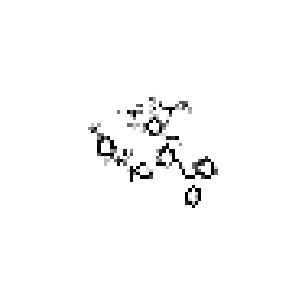 CCC(=O)N[C@H]1C[C@@H](n2cnc3c(NCC(c4ccccc4)c4ccccc4)nc(N4CC[C@@H](NC(=O)Nc5ccc(C#N)cc5)C4)nc32)[C@H](OC(=O)C(F)(F)F)[C@@H]1O